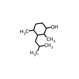 CC(C)CC1C(C)CCC(O)C1C